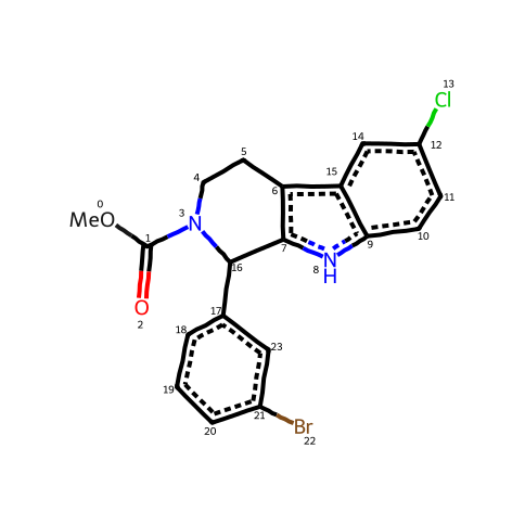 COC(=O)N1CCc2c([nH]c3ccc(Cl)cc23)C1c1cccc(Br)c1